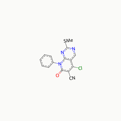 CSc1ncc2c(Cl)c(C#N)c(=O)n(-c3ccccc3)c2n1